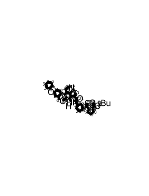 Cc1cc(Oc2ccccc2)ccc1N1C(=O)Nc2c(C(=O)NC3CCCN(C(=O)C4CCCN4C(=O)OC(C)(C)C)C3)sc3nccc1c23